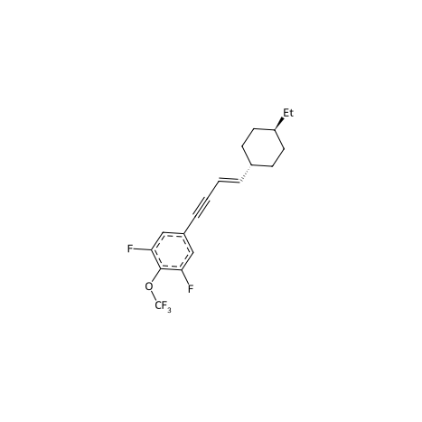 CC[C@H]1CC[C@H](C=CC#Cc2cc(F)c(OC(F)(F)F)c(F)c2)CC1